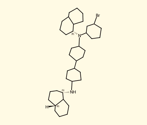 BrC1CCCC(N(C2CCC(C3CCC(N[C@H]4CCC[C@H]5CCCCC54)CC3)CC2)[C@@H]2CCCC3CCCCC32)C1